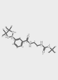 CC(C)(C)OC(=O)NCCNC(=O)c1cccc(B2OC(C)(C)C(C)(C)O2)c1